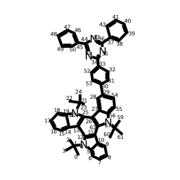 CC(C)(C)n1c2ccccc2c2c1c1c3ccccc3n(C(C)(C)C)c1c1c3cc(-c4ccc(-c5nc(-c6ccccc6)nc(-c6ccccc6)n5)cc4)ccc3n(C(C)(C)C)c21